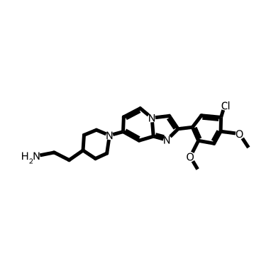 COc1cc(OC)c(-c2cn3ccc(N4CCC(CCN)CC4)cc3n2)cc1Cl